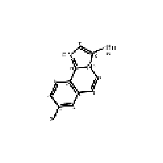 Cc1ccc2c(ccn3c(C(C)(C)C)cnc23)c1